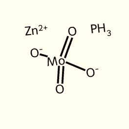 P.[O]=[Mo](=[O])([O-])[O-].[Zn+2]